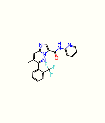 Cc1cc2ncc(C(=O)Nc3ccccn3)n2nc1-c1ccccc1C(F)(F)F